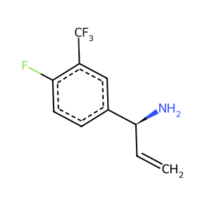 C=C[C@H](N)c1ccc(F)c(C(F)(F)F)c1